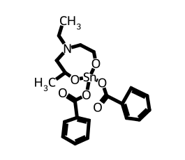 CCN1CC[O][Sn]([O]C(=O)c2ccccc2)([O]C(=O)c2ccccc2)[O]C(C)C1